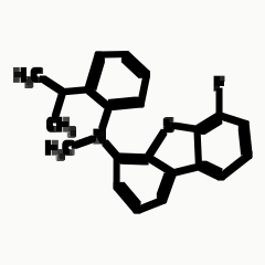 CC(C)c1ccccc1N(C)c1cccc2c1sc1c(F)cccc12